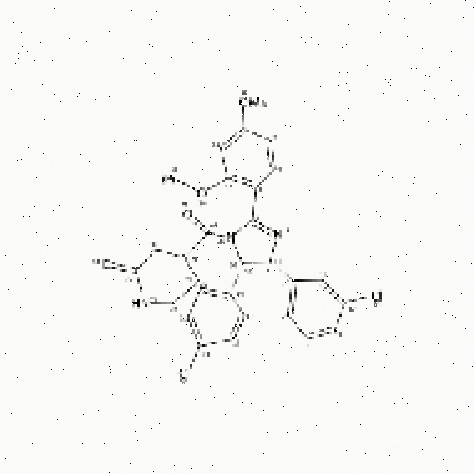 COc1ccc(C2=N[C@H](c3cccc(Cl)c3)[C@H](c3ccc(Cl)cc3)N2C(=O)N2CCNC(=O)C2)c(OC(C)C)c1